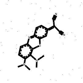 CN(C)c1ccc2c(c1N(C)C)Sc1cc(=C(C#N)C#N)ccc1=N2